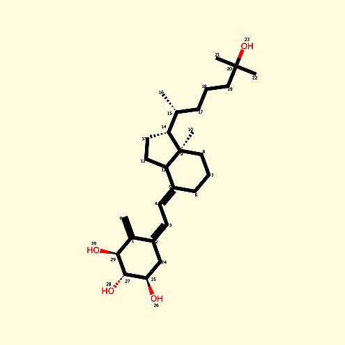 C=C1/C(=C\C=C2CCC[C@@]3(C)C2CC[C@@H]3[C@H](C)CCCC(C)(C)O)C[C@@H](O)[C@H](O)[C@H]1O